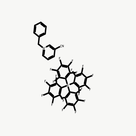 Fc1c(F)c(F)c([B-](c2c(F)c(F)c(F)c(F)c2F)(c2c(F)c(F)c(F)c(F)c2F)c2c(F)c(F)c(F)c(F)c2F)c(F)c1F.N#Cc1ccc[n+](Cc2ccccc2)c1